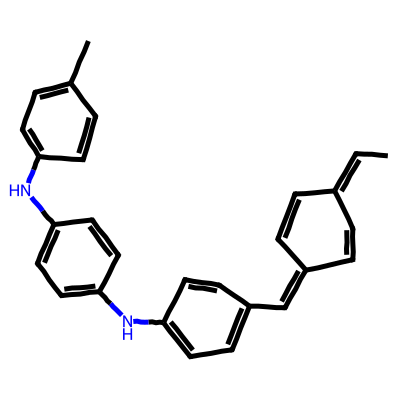 CC=c1ccc(=Cc2ccc(Nc3ccc(Nc4ccc(C)cc4)cc3)cc2)cc1